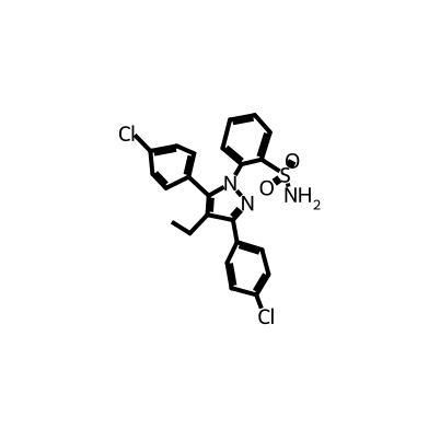 CCc1c(-c2ccc(Cl)cc2)nn(-c2ccccc2S(N)(=O)=O)c1-c1ccc(Cl)cc1